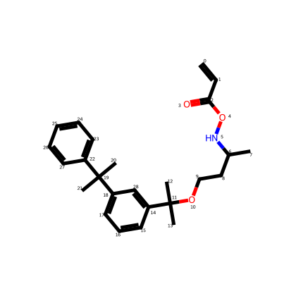 C=CC(=O)ONC(C)CCOC(C)(C)c1cccc(C(C)(C)c2ccccc2)c1